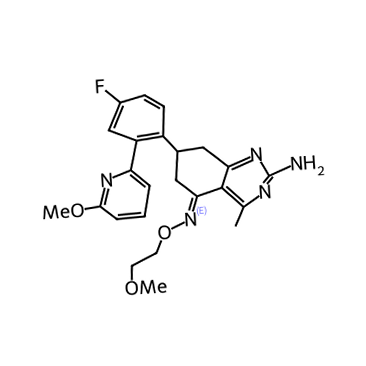 COCCO/N=C1\CC(c2ccc(F)cc2-c2cccc(OC)n2)Cc2nc(N)nc(C)c21